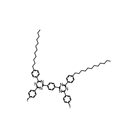 CCCCCCCCCCCCc1ccc(-c2nc(-c3ccc(I)cc3)nc(-c3ccc(-c4nc(-c5ccc(I)cc5)nc(-c5ccc(CCCCCCCCCCCC)cc5)n4)cc3)n2)cc1